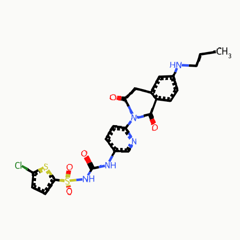 CCCNc1ccc2c(c1)CC(=O)N(c1ccc(NC(=O)NS(=O)(=O)c3ccc(Cl)s3)cn1)C2=O